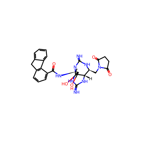 N=C1N[C@H]2[C@H](CN3C(=O)CCC3=O)NC(=N)N3C[C@H](NC(=O)c4cccc5c4-c4ccccc4C5)C(O)(O)[C@]23N1